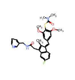 COc1cc(C=C2C(C)=C(CC(=O)NCc3cccnc3)c3cc(F)ccc32)cc(OC)c1SC(=O)N(C)C